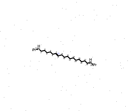 CC(C)NCCCCC/C=C/CCCCCCCCCCNC(C)C